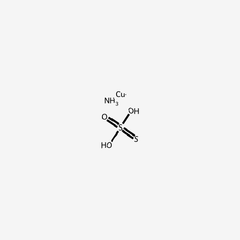 N.O=S(O)(O)=S.[Cu]